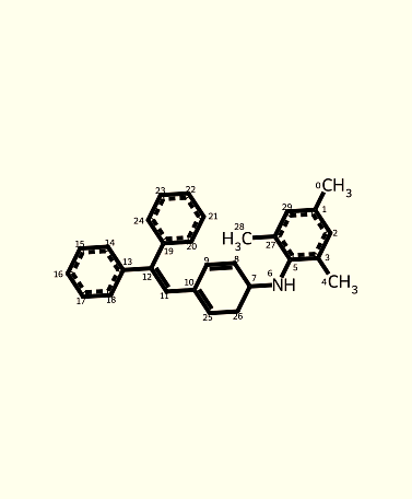 Cc1cc(C)c(NC2C=CC(C=C(c3ccccc3)c3ccccc3)=CC2)c(C)c1